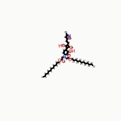 CCCCCCCCCCCCOC(=O)C[N+](CC(=O)OCCCCCCCCCCCC)=C1C=C/C(=C2/C(=O)C(/C=C/c3cc(C)no3)=C2O)C(O)=C1